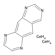 [GeH4].[GeH4].c1ncc2cc3nccnc3cc2n1